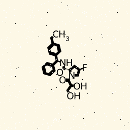 CCc1ccc([C@@H](NC(=O)[C@@H]2C[C@@H](F)CN2C(=O)C(O)CO)c2ccccc2)cc1